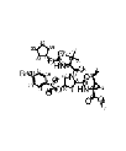 C=CC1CC1(NC(=O)C1CC(OS(=O)(=O)c2ccc(Br)cc2)CN1C(=O)C(NC(=O)OC1CCCC1)C(C)(C)C)C(=O)OC